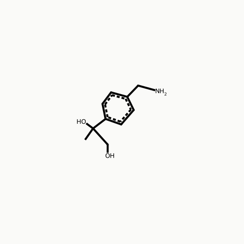 CC(O)(CO)c1ccc(CN)cc1